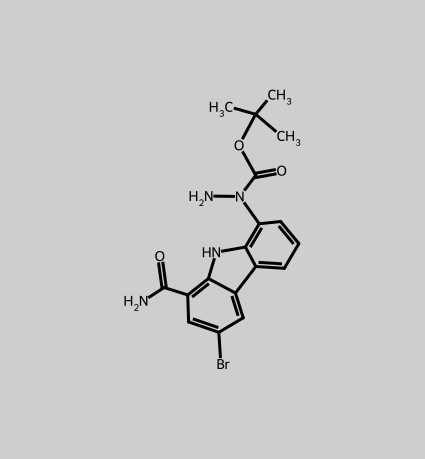 CC(C)(C)OC(=O)N(N)c1cccc2c1[nH]c1c(C(N)=O)cc(Br)cc12